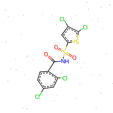 O=C(NS(=O)(=O)c1cc(Cl)c(Cl)s1)c1ccc(Cl)cc1Cl